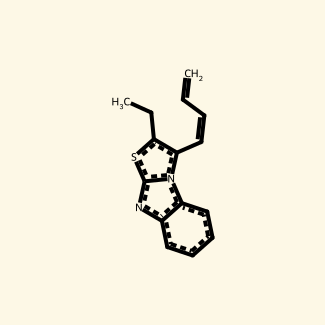 C=C/C=C\c1c(CC)sc2nc3ccccc3n12